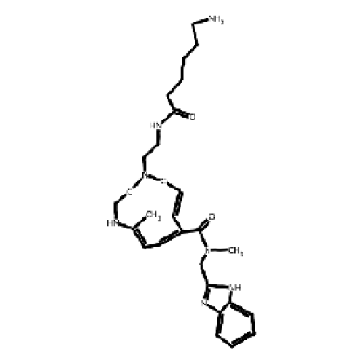 C\C1=C/C=C(C(=O)N(C)Cc2nc3ccccc3[nH]2)\C=C\CN(CCNC(=O)CCCCCN)CCN1